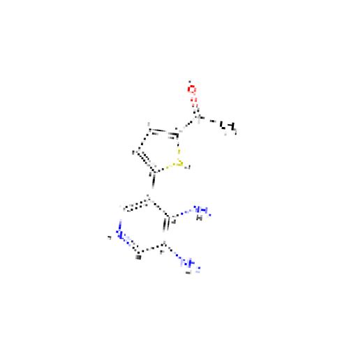 CC(=O)c1ccc(-c2cncc(N)c2N)s1